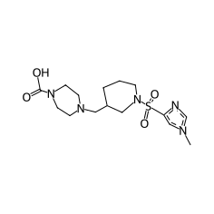 Cn1cnc(S(=O)(=O)N2CCCC(CN3CCN(C(=O)O)CC3)C2)c1